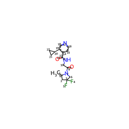 C[C@H]1CC(F)(F)CN1C(=O)CNC(=O)c1ccncc1C1CC1